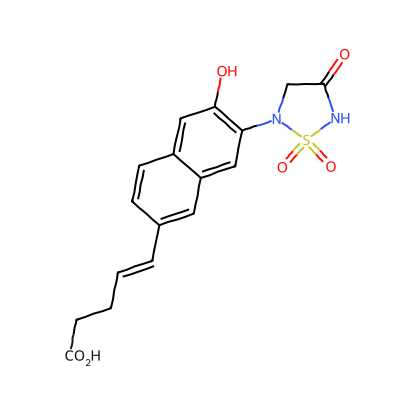 O=C(O)CCC=Cc1ccc2cc(O)c(N3CC(=O)NS3(=O)=O)cc2c1